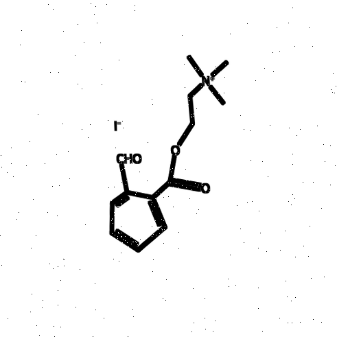 C[N+](C)(C)CCOC(=O)c1ccccc1C=O.[I-]